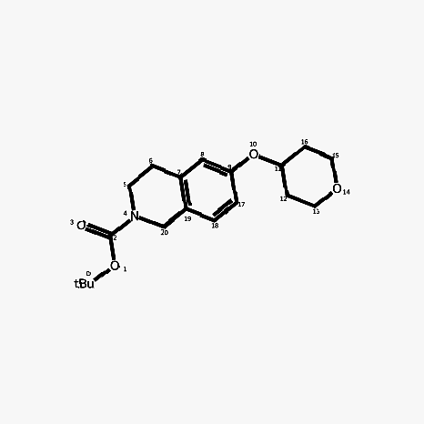 CC(C)(C)OC(=O)N1CCc2cc(OC3CCOCC3)ccc2C1